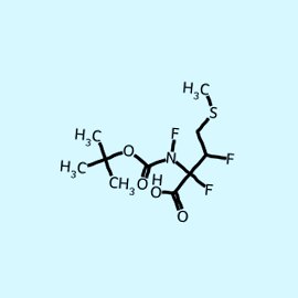 CSCC(F)C(F)(C(=O)O)N(F)C(=O)OC(C)(C)C